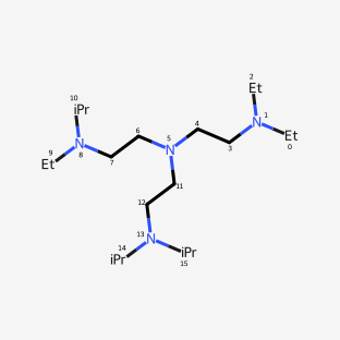 CCN(CC)CCN(CCN(CC)C(C)C)CCN(C(C)C)C(C)C